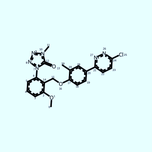 COc1cccc(-n2nnn(C)c2=O)c1COc1ccc(-c2ccc(Cl)nn2)cc1C